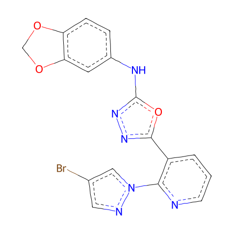 Brc1cnn(-c2ncccc2-c2nnc(Nc3ccc4c(c3)OCO4)o2)c1